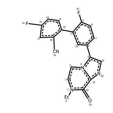 CCn1ccn2c(-c3ccc(F)c(-c4ccc(F)cc4C#N)c3)cnc2c1=O